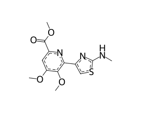 CNc1nc(-c2nc(C(=O)OC)cc(OC)c2OC)cs1